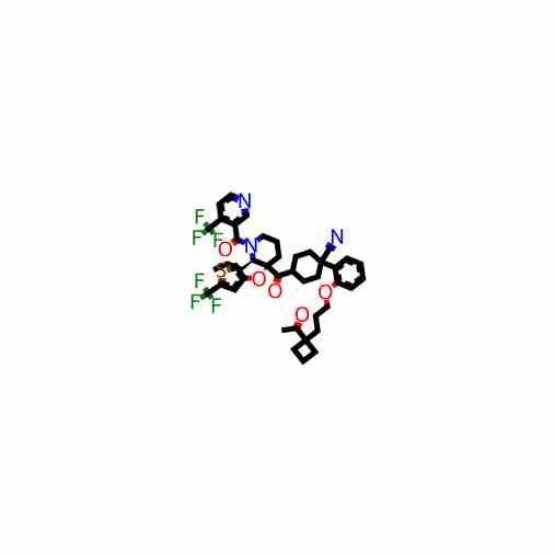 CCC[C@H]1N(C(=O)c2cnccc2C(F)(F)F)CCC[C@@]1(Oc1csc(C(F)(F)F)c1)C(=O)C1CCC(C#N)(c2ccccc2OCCCC2(C(C)=O)CCC2)CC1